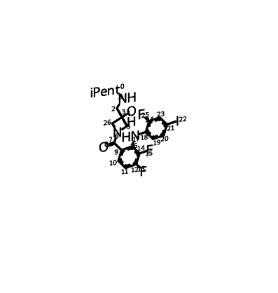 CCCC(C)NCC1(O)CN(C(=O)c2ccc(F)c(F)c2Nc2ccc(I)cc2F)C1